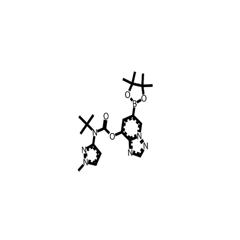 Cn1ccc(N(C(=O)Oc2cc(B3OC(C)(C)C(C)(C)O3)cn3ncnc23)C(C)(C)C)n1